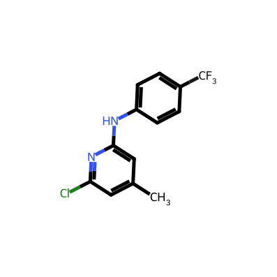 Cc1cc(Cl)nc(Nc2ccc(C(F)(F)F)cc2)c1